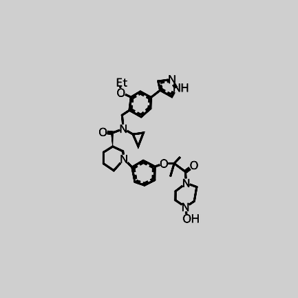 CCOc1cc(-c2cn[nH]c2)ccc1CN(C(=O)[C@@H]1CCCN(c2cccc(OC(C)(C)C(=O)N3CCN(O)CC3)c2)C1)C1CC1